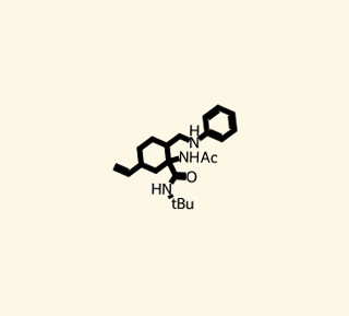 C=CC1CCC(CNc2ccccc2)C(NC(C)=O)(C(=O)NC(C)(C)C)C1